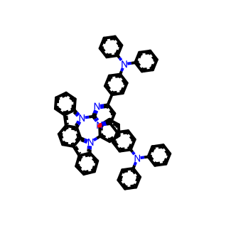 c1ccc(N(c2ccccc2)c2ccc(-c3cc(-c4ccc(N(c5ccccc5)c5ccccc5)cc4)nc(-n4c5ccccc5c5ccc6c7ccccc7n(-c7ccccc7)c6c54)n3)cc2)cc1